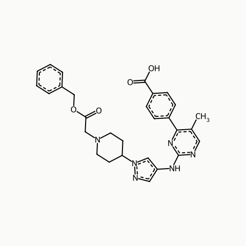 Cc1cnc(Nc2cnn(C3CCN(CC(=O)OCc4ccccc4)CC3)c2)nc1-c1ccc(C(=O)O)cc1